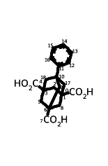 O=C(O)C12CC3(C(=O)O)CC(C(=O)O)(C1)CC(c1ccccc1)(C2)C3